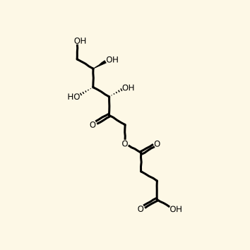 O=C(O)CCC(=O)OCC(=O)[C@@H](O)[C@H](O)[C@H](O)CO